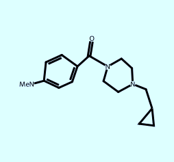 CNc1ccc(C(=O)N2CCN(CC3CC3)CC2)cc1